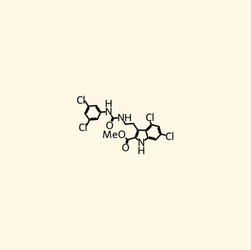 COC(=O)c1[nH]c2cc(Cl)cc(Cl)c2c1CCNC(=O)Nc1cc(Cl)cc(Cl)c1